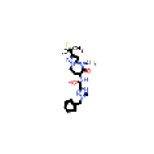 CN1C(=O)C(NC(O)c2ncn(Cc3ccccc3)n2)CCN2N=C(C(C)(C)F)CC21